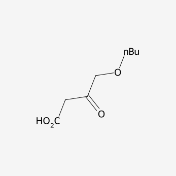 CCCCOCC(=O)CC(=O)O